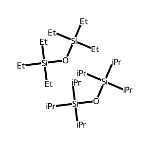 CC(C)[Si](O[Si](C(C)C)(C(C)C)C(C)C)(C(C)C)C(C)C.CC[Si](CC)(CC)O[Si](CC)(CC)CC